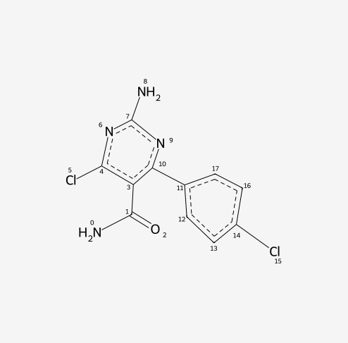 NC(=O)c1c(Cl)nc(N)nc1-c1ccc(Cl)cc1